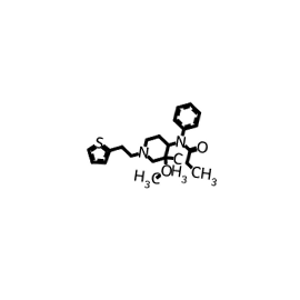 CCC(=O)N(c1ccccc1)C1CCN(CCc2cccs2)CC1(C)OC